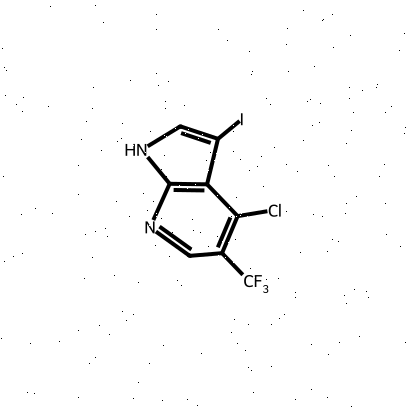 FC(F)(F)c1cnc2[nH]cc(I)c2c1Cl